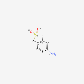 Nc1ccc2c(c1)CS(=O)(=O)C2